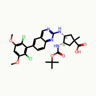 COc1cc(OC)c(Cl)c(-c2ccc3nc(N[C@@H]4CC(C)(C(=O)O)C[C@@H]4NC(=O)OC(C)(C)C)ncc3c2)c1Cl